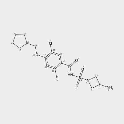 NC1CN(S(=O)(=O)NC(=O)c2cc(Cl)c(OCC3CCCC3)cc2F)C1